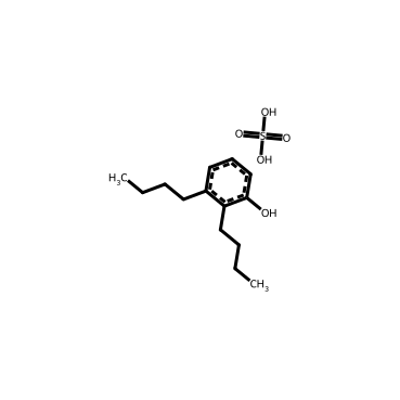 CCCCc1cccc(O)c1CCCC.O=S(=O)(O)O